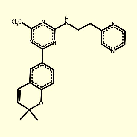 CC1(C)C=Cc2cc(-c3nc(NCCc4cnccn4)nc(C(Cl)(Cl)Cl)n3)ccc2O1